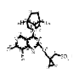 O=S(=O)(O)CC1(COc2nc(N3C[C@H]4CC[C@@H](C3)C4(F)F)c3cnc(Cl)c(F)c3n2)CC1